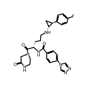 O=C1CN(C(=O)[C@H](CCCN[C@@H]2C[C@H]2c2ccc(F)cc2)NC(=O)c2ccc(-n3cnnc3)cc2)CCN1